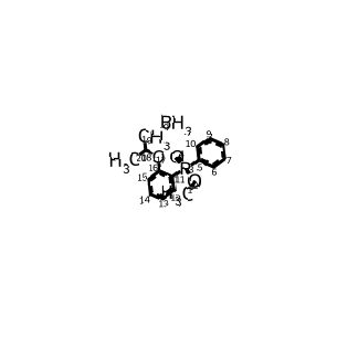 B.COP(=O)(c1ccccc1)c1ccccc1OC(C)C